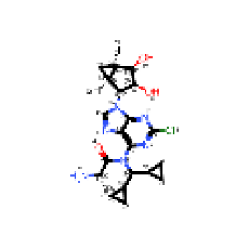 CC(C)[C@H](N)C(=O)N(c1nc(Cl)nc2c1ncn2[C@H]1[C@H](O)[C@H](O)[C@@H]2C[C@@H]21)C(C1CC1)C1CC1